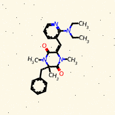 CCN(CC)c1ncccc1C=C1C(=O)N(C)C(C)(Cc2ccccc2)C(=O)N1C